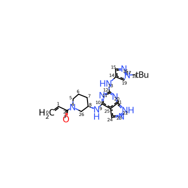 C=CC(=O)N1CCC[C@@H](Nc2nc(Nc3cnn(C(C)(C)C)c3)nc3[nH]ncc23)C1